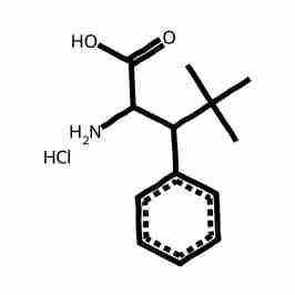 CC(C)(C)C(c1ccccc1)C(N)C(=O)O.Cl